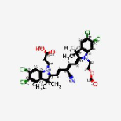 CC1(C)C(/C=C/C(C#N)=C/C=C2/N(CCOC=O)c3cc(Cl)c(Cl)cc3C2(C)C)=[N+](CCC(=O)O)c2cc(Cl)c(Cl)cc21